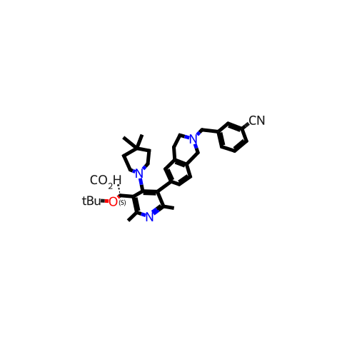 Cc1nc(C)c([C@H](OC(C)(C)C)C(=O)O)c(N2CCC(C)(C)CC2)c1-c1ccc2c(c1)CCN(Cc1cccc(C#N)c1)C2